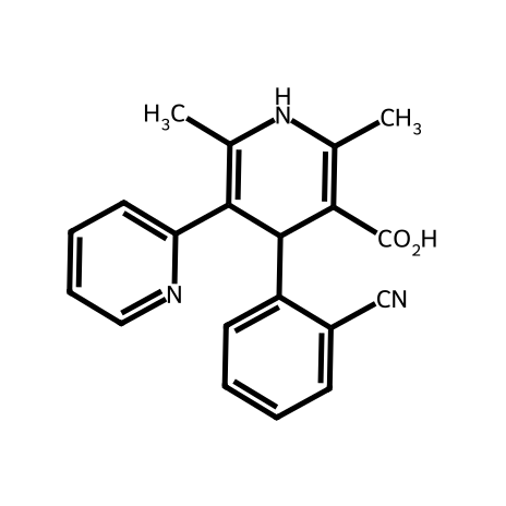 CC1=C(C(=O)O)C(c2ccccc2C#N)C(c2ccccn2)=C(C)N1